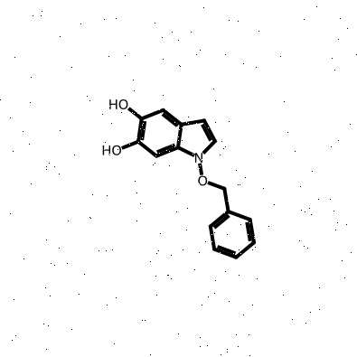 Oc1cc2ccn(OCc3ccccc3)c2cc1O